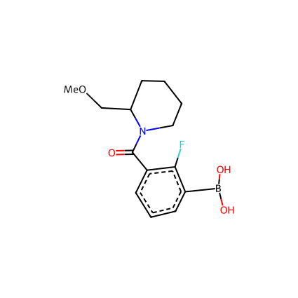 COCC1CCCCN1C(=O)c1cccc(B(O)O)c1F